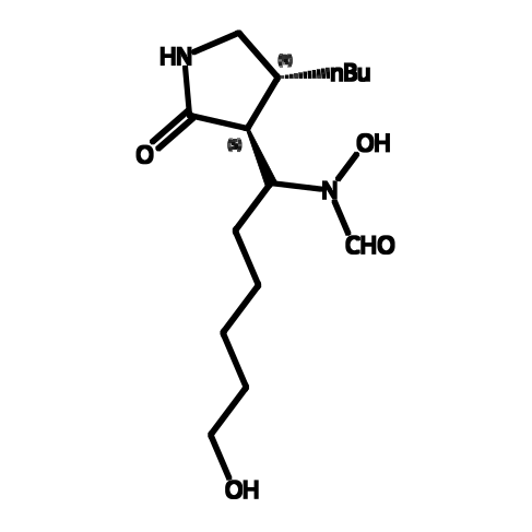 CCCC[C@H]1CNC(=O)[C@@H]1C(CCCCCO)N(O)C=O